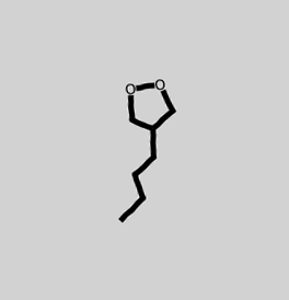 CCCCC1COOC1